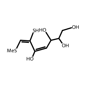 CS/C=C(S)\C(O)=C/C(O)C(O)CO